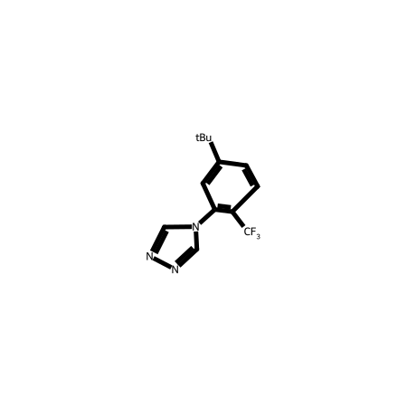 CC(C)(C)c1ccc(C(F)(F)F)c(-n2cnnc2)c1